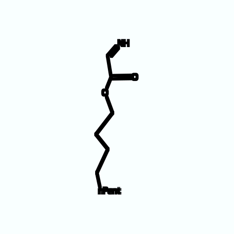 CCCCCCCCCOC(=O)C=N